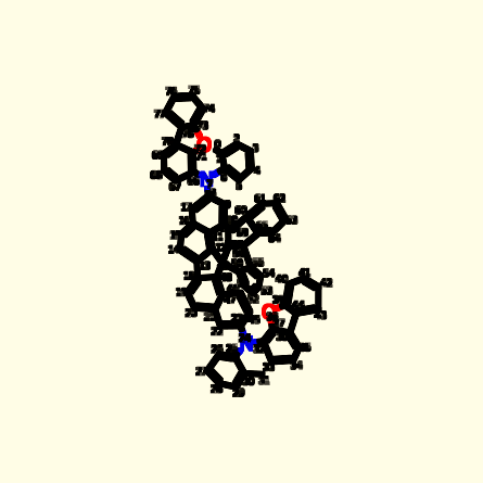 Cc1ccccc1N(c1ccc2c3c(ccc2c1)-c1ccc2cc(N(c4ccccc4C)c4cccc5c4oc4ccccc45)ccc2c1C31c2ccccc2-c2c1ccc1ccccc21)c1cccc2c1oc1ccccc12